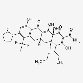 CCC[C@@H](CC)C1C(O)=C(C(N)=O)C(=O)[C@@]2(O)C(O)=C3C(=O)c4c(O)cc(C5CCCN5)c(C(F)(F)F)c4C[C@H]3C[C@@H]12